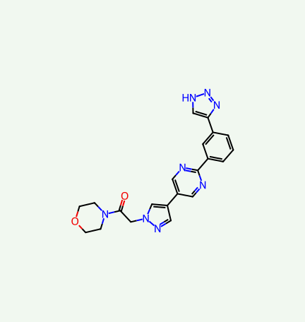 O=C(Cn1cc(-c2cnc(-c3cccc(-c4c[nH]nn4)c3)nc2)cn1)N1CCOCC1